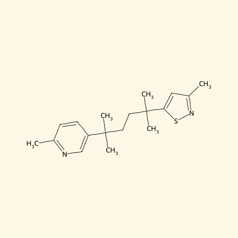 Cc1ccc(C(C)(C)CCC(C)(C)c2cc(C)ns2)cn1